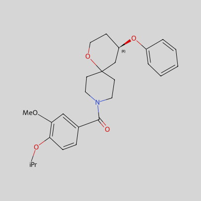 COc1cc(C(=O)N2CCC3(CC2)C[C@H](Oc2ccccc2)CCO3)ccc1OC(C)C